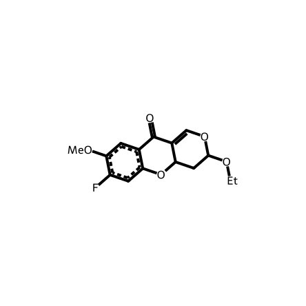 CCOC1CC2Oc3cc(F)c(OC)cc3C(=O)C2=CO1